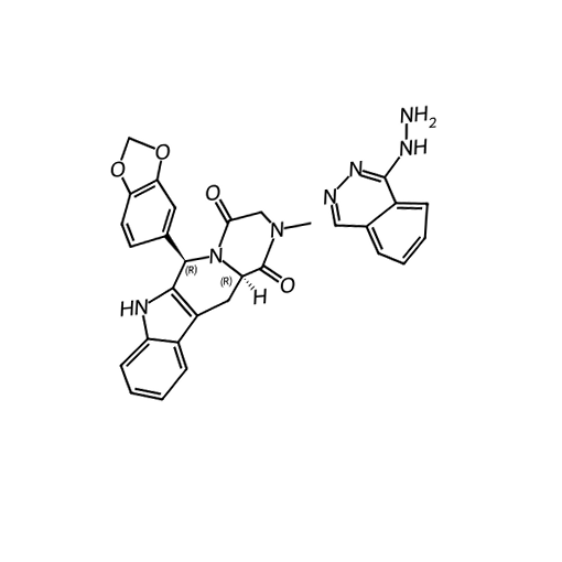 CN1CC(=O)N2[C@H](c3ccc4c(c3)OCO4)c3[nH]c4ccccc4c3C[C@@H]2C1=O.NNc1nncc2ccccc12